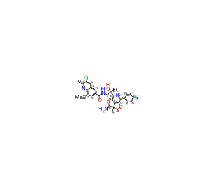 CC[C@](O)(CNC(=O)c1cc(OC)c2nc(C)c(Cl)cc2c1)c1cc2c(c(-c3ccc(F)cc3)n1)OC[C@]2(C)C(N)=O